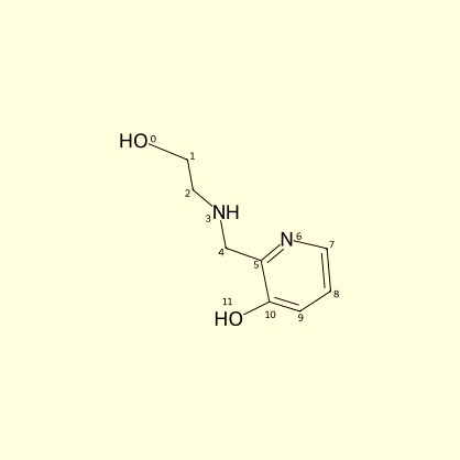 OCCNCc1ncccc1O